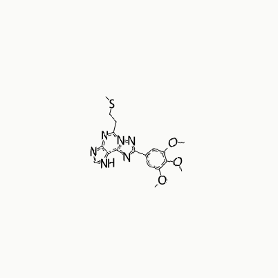 COc1cc(-c2nc3c4[nH]cnc4nc(CCSC)n3n2)cc(OC)c1OC